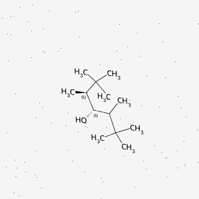 CC([C@H](O)[C@@H](C)C(C)(C)C)C(C)(C)C